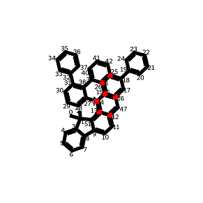 CC1(C)c2ccccc2-c2cccc(N(c3ccc(-c4ccccc4)cc3)c3cccc(-c4ccccc4)c3-c3ccccc3-c3ccccc3)c21